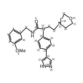 COc1cccc(CNC(=O)N(CCN2CCOCC2)c2ccc(-c3cn[nH]c3)cc2)c1